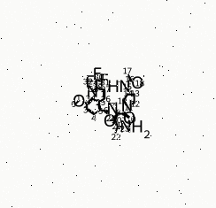 COc1ccc(-c2nc(C(=O)N3CC[C@@H](NC(C)=O)C3)c(C(C)N)o2)c2ccc(C(F)(F)F)nc12